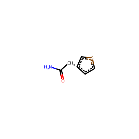 CC(N)=O.c1ccsc1